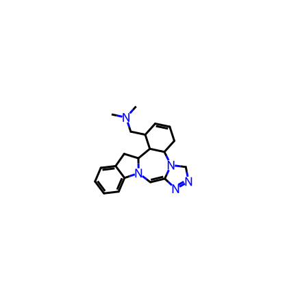 CN(C)CC1C=CCC2C1C1Cc3ccccc3N1C=C1N=NCN12